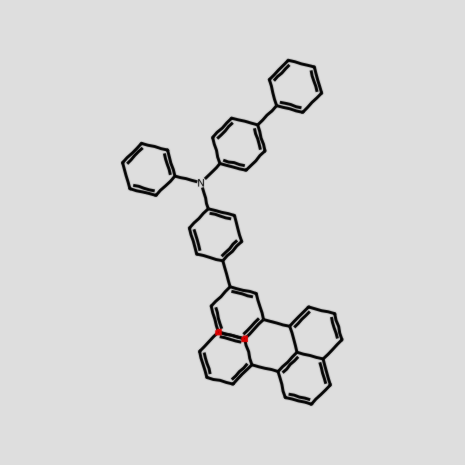 c1ccc(-c2ccc(N(c3ccccc3)c3ccc(-c4cccc(-c5cccc6cccc(-c7ccccc7)c56)c4)cc3)cc2)cc1